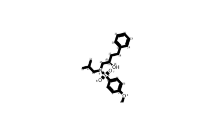 COc1ccc(S(=O)(=O)N(CC(C)C)C[C@H](O)[CH]Cc2ccccc2)cc1